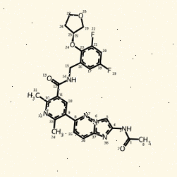 CC(=O)Nc1cn2nc(-c3cc(C(=O)NCc4cc(F)cc(F)c4O[C@H]4CCOC4)c(C)nc3C)ccc2n1